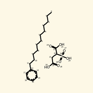 CCCCCCCCCCCCc1ccccc1.O=C(O)CC(C(=O)O)S(=O)(=O)O